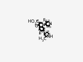 CC1CN(c2cc3c(cc2F)c(=O)c(C(=O)O)cn3-c2ccncc2F)CCN1